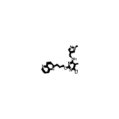 Cc1c(Cl)nc(OCCCc2ccc3ncccc3n2)nc1NCc1cnn(C)c1